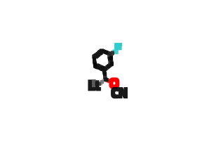 CC[C@@H](OC#N)c1cccc(F)c1